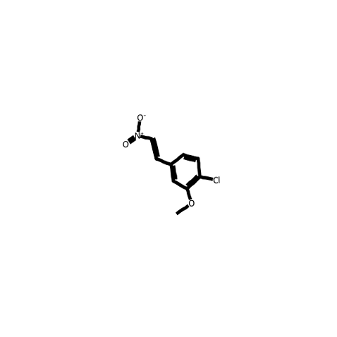 COc1cc(/C=C/[N+](=O)[O-])ccc1Cl